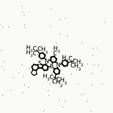 Cc1cc2c3c(c1)N(c1ccc(C(C)(C)C)cc1)c1c(ccc4c1sc1ccc5c(c14)CCC5)B3c1cc(C(C)(C)C)ccc1N2c1ccc(C(C)(C)C)cc1